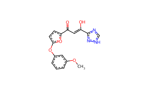 COc1cccc(Oc2ccc(C(=O)C=C(O)c3nc[nH]n3)o2)c1